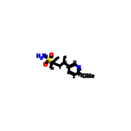 COc1ccc(C(C)CC(C)(C)S(N)(=O)=O)cn1